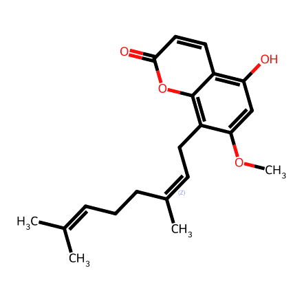 COc1cc(O)c2ccc(=O)oc2c1C/C=C(/C)CCC=C(C)C